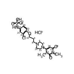 Cl.Cn1c(N2CCN(CCCOc3ccc(NS(C)(=O)=O)cc3Cl)CC2)cc(=O)n(C)c1=O